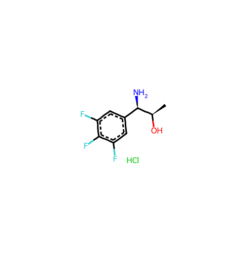 C[C@@H](O)[C@H](N)c1cc(F)c(F)c(F)c1.Cl